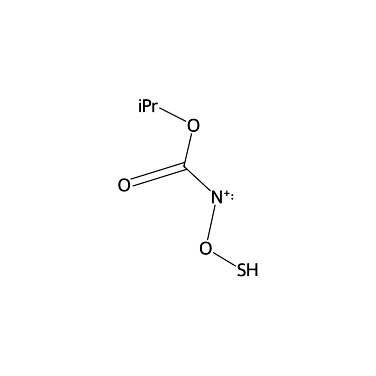 CC(C)OC(=O)[N+]OS